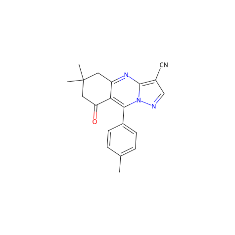 Cc1ccc(-c2c3c(nc4c(C#N)cnn24)CC(C)(C)CC3=O)cc1